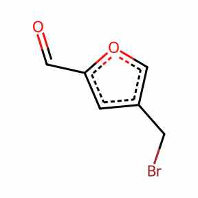 O=Cc1cc(CBr)co1